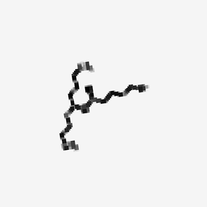 CCCCC(CCCC)OC(=O)CCCCBr